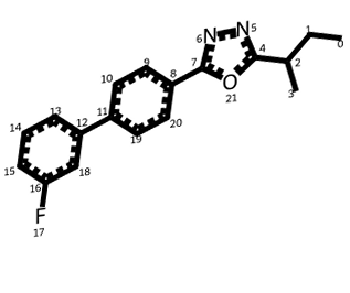 CCC(C)c1nnc(-c2ccc(-c3cccc(F)c3)cc2)o1